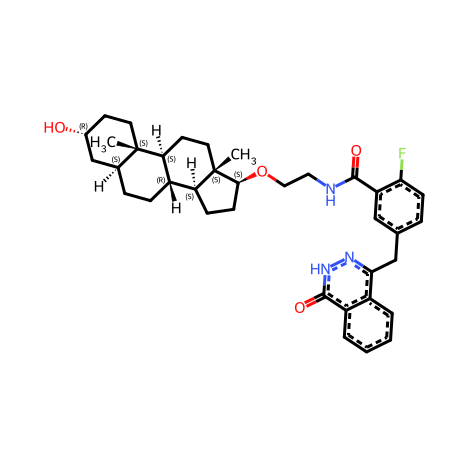 C[C@]12CC[C@@H](O)C[C@@H]1CC[C@@H]1[C@@H]2CC[C@]2(C)[C@@H](OCCNC(=O)c3cc(Cc4n[nH]c(=O)c5ccccc45)ccc3F)CC[C@@H]12